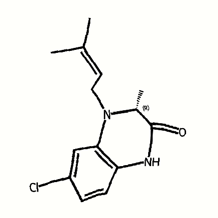 CC(C)=CCN1c2cc(Cl)ccc2NC(=O)[C@H]1C